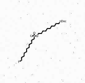 CCCCCCCCCCCCCCCCCCCCOS(=O)(=O)CCCCCCCCCCCF